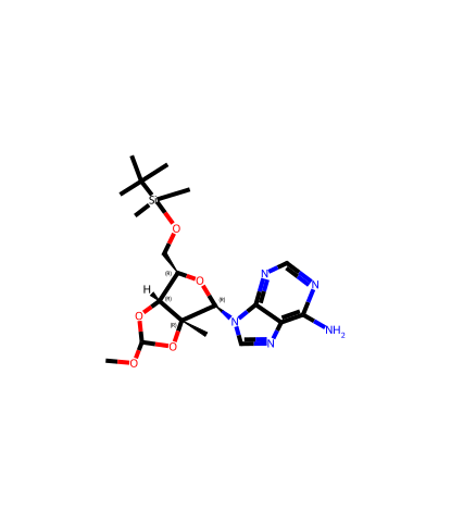 COC1O[C@@H]2[C@@H](CO[Si](C)(C)C(C)(C)C)O[C@@H](n3cnc4c(N)ncnc43)[C@]2(C)O1